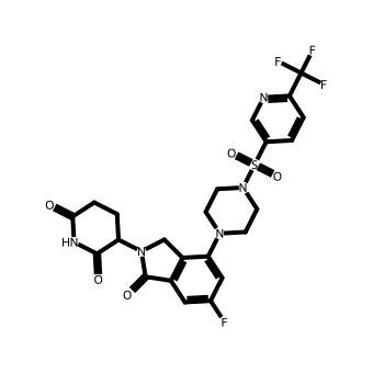 O=C1CCC(N2Cc3c(cc(F)cc3N3CCN(S(=O)(=O)c4ccc(C(F)(F)F)nc4)CC3)C2=O)C(=O)N1